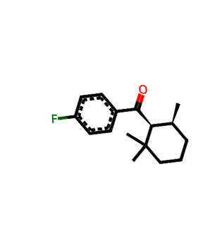 C[C@H]1CCCC(C)(C)[C@H]1C(=O)c1ccc(F)cc1